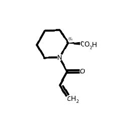 C=CC(=O)N1CCCC[C@H]1C(=O)O